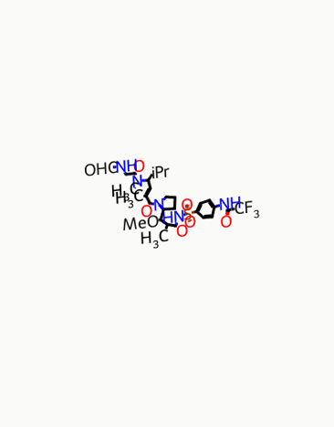 COC(C(C)C(=O)NS(=O)(=O)c1ccc(NC(=O)C(F)(F)F)cc1)C1CCCN1C(=O)/C(C)=C/C(C(C)C)N(C)C(=O)CNC=O